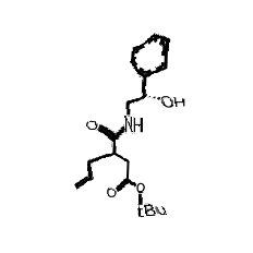 C=CCC(CC(=O)OC(C)(C)C)C(=O)NC[C@@H](O)c1ccccc1